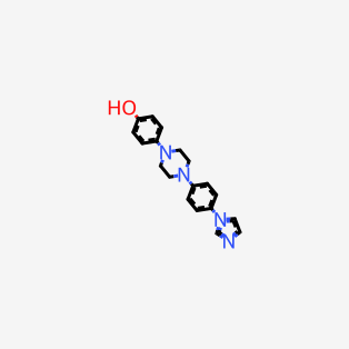 Oc1ccc(N2CCN(c3ccc(-n4ccnc4)cc3)CC2)cc1